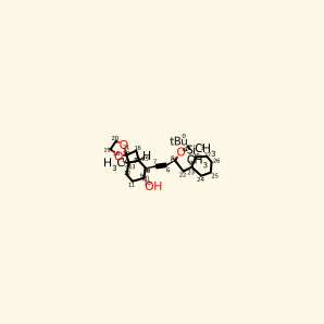 CC(C)(C)[Si](C)(C)O[C@H](C#C[C@H]1[C@H](O)CC[C@@]2(C)[C@@H]1CC21OCCO1)CC1CCCCC1